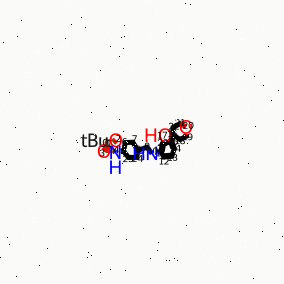 CC(C)(C)S(=O)(=O)NC1CCC(CNc2cccc(C3(O)CCOCC3)c2)CC1